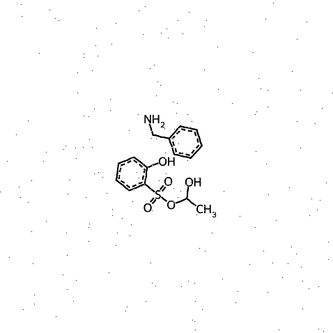 CC(O)OS(=O)(=O)c1ccccc1O.NCc1ccccc1